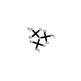 CCC(P)(CC)P(C(P)(CC)CC)C(P)(CC)CC